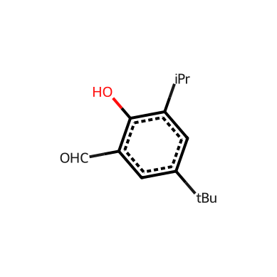 CC(C)c1cc(C(C)(C)C)cc(C=O)c1O